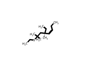 CC/C=C\[C@](C)(CC)CC(C)(C)SCC